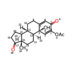 CC(=O)OC1=C[C@@]2(C)C(=CC1=O)CC[C@@H]1[C@@H]2CC[C@]2(C)C(=O)CC[C@@H]12